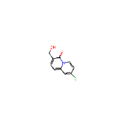 O=c1c(CO)ccc2cc(Cl)ccn12